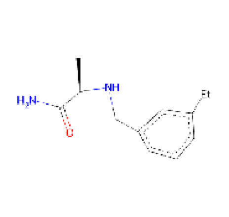 CCc1cccc(CN[C@H](C)C(N)=O)c1